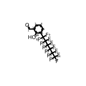 O=Cc1cccc(C(F)(F)C(F)(F)C(F)(F)C(F)(F)C(F)(F)C(F)(F)F)c1O